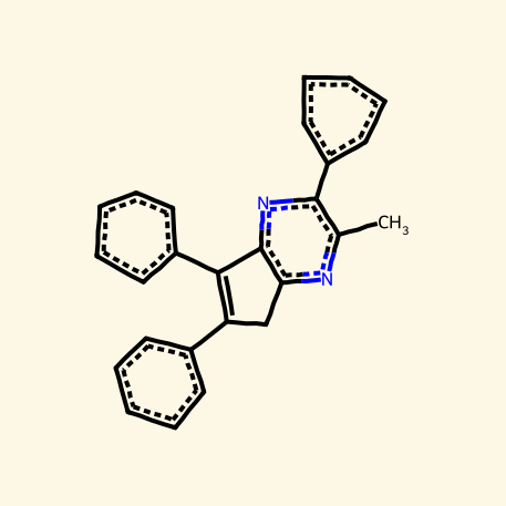 Cc1nc2c(nc1-c1ccccc1)C(c1ccccc1)=C(c1ccccc1)C2